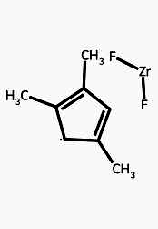 CC1=CC(C)=C(C)[CH]1.[F][Zr][F]